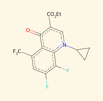 CCOC(=O)c1cn(C2CC2)c2c(F)c(F)cc(C(F)(F)F)c2c1=O